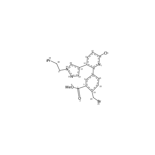 COC(=O)c1cc(-c2nc(Cl)ccc2-c2cnn(CCC(C)C)c2)ccc1CBr